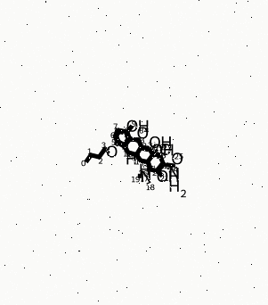 CCCCOc1ccc(O)c2c1C[C@H]1C[C@H]3[C@H](N(C)C)C(O)=C(C(N)=O)C(=O)[C@@]3(O)C(O)=C1C2=O